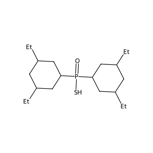 CCC1CC(CC)CC(P(=O)(S)C2CC(CC)CC(CC)C2)C1